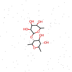 CC1OC(C)[C@H](OC2OC(C)[C@H](O)C(O)[C@@H]2O)C(O)[C@@H]1O